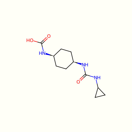 O=C(O)N[C@H]1CC[C@@H](NC(=O)NC2CC2)CC1